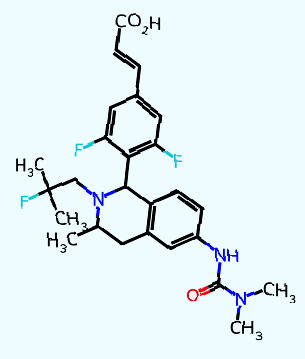 CC1Cc2cc(NC(=O)N(C)C)ccc2C(c2c(F)cc(/C=C/C(=O)O)cc2F)N1CC(C)(C)F